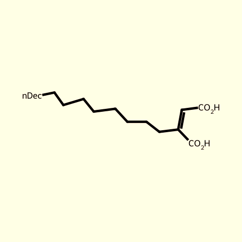 CCCCCCCCCCCCCCCCCCC(=CC(=O)O)C(=O)O